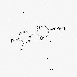 CCCCC[C@H]1CO[C@H](c2ccc(F)c(F)c2)OC1